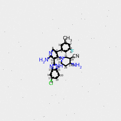 Cc1cc(F)cc(-c2cnc(N)c(-c3nc4cc(Cl)ccc4[nH]3)c2N2CCC(N)C(C#N)C2)c1